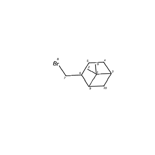 CC1(C)C2CCC(CBr)C1C2